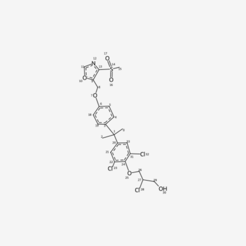 CC(C)(c1ccc(OCc2ocnc2S(C)(=O)=O)cc1)c1cc(Cl)c(OCC(Cl)CO)c(Cl)c1